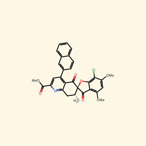 COC(=O)c1cc(-c2ccc3ccccc3c2)c2c(n1)C[C@@H](C)[C@]1(Oc3c(Cl)c(OC)cc(OC)c3C1=O)C2=O